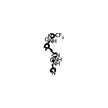 Cc1ccc(C(=O)Nc2cc(C(F)(F)F)ccn2)cc1C#Cc1cnc(NC(=O)NCc2ccncc2)s1